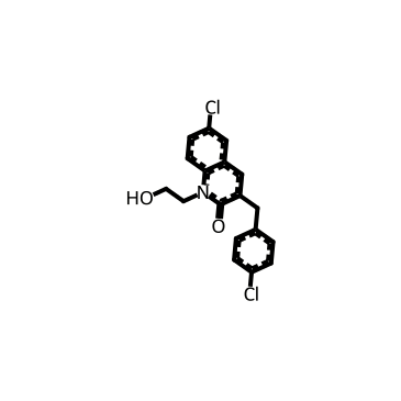 O=c1c(Cc2ccc(Cl)cc2)cc2cc(Cl)ccc2n1CCO